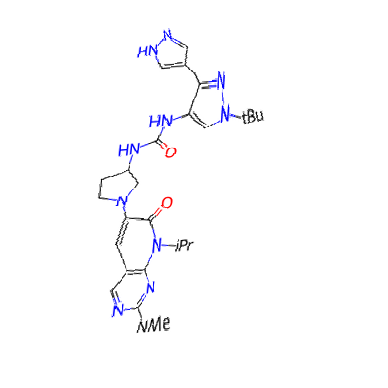 CNc1ncc2cc(N3CCC(NC(=O)Nc4cn(C(C)(C)C)nc4-c4cn[nH]c4)C3)c(=O)n(C(C)C)c2n1